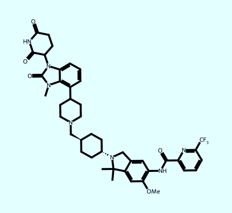 COc1cc2c(cc1NC(=O)c1cccc(C(F)(F)F)n1)CN([C@H]1CC[C@H](CN3CCC(c4cccc5c4n(C)c(=O)n5C4CCC(=O)NC4=O)CC3)CC1)C2(C)C